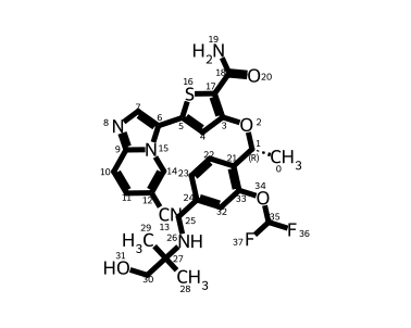 C[C@@H](Oc1cc(-c2cnc3ccc(C#N)cn23)sc1C(N)=O)c1ccc(CNC(C)(C)CO)cc1OC(F)F